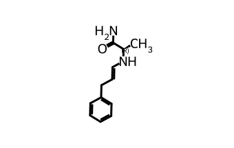 C[C@@H](NC=CCc1ccccc1)C(N)=O